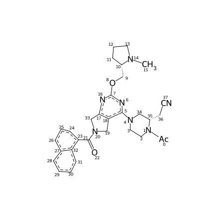 CC(=O)N1CCN(c2nc(OC[C@@H]3CCCN3C)nc3c2CN(C(=O)c2cccc4ccccc24)C3)C[C@@H]1CC#N